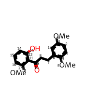 COc1ccc(OC)c(CCC(=O)c2c(O)cccc2OC)c1